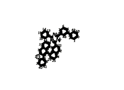 c1ccc(-c2cccc(-c3nc(-c4ccccc4)nc(-c4ccc5cccc(-c6c7ccccc7cc7oc8ccccc8c67)c5c4)n3)c2)cc1